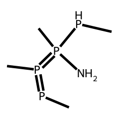 CP=P(C)=P(C)(N)PC